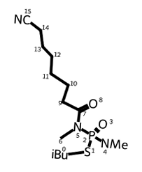 CCC(C)SP(=O)(NC)N(C)C(=O)CCCCCCC#N